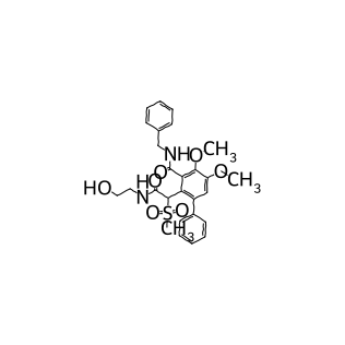 COc1cc(-c2ccccc2)c(C(C(=O)NCCO)S(C)(=O)=O)c(C(=O)NCc2ccccc2)c1OC